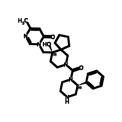 Cc1cc(=O)n(C[C@]2(O)CCN(C(=O)N3CCNC[C@H]3c3ccccc3)CC23CCCC3)cn1